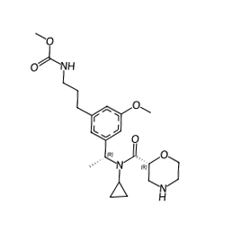 COC(=O)NCCCc1cc(OC)cc([C@@H](C)N(C(=O)[C@H]2CNCCO2)C2CC2)c1